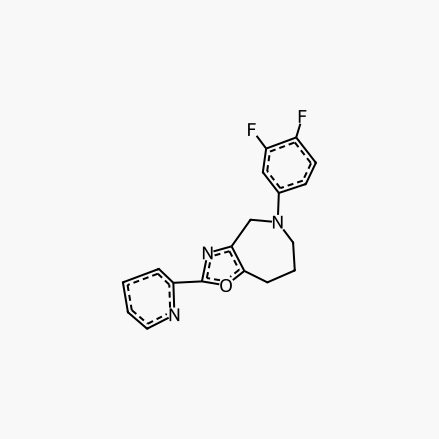 Fc1ccc(N2CCCc3oc(-c4ccccn4)nc3C2)cc1F